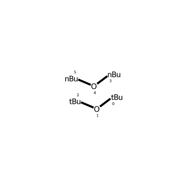 CC(C)(C)OC(C)(C)C.CCCCOCCCC